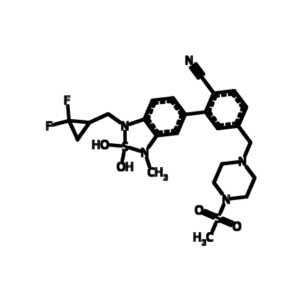 CN1c2cc(-c3cc(CN4CCN(S(C)(=O)=O)CC4)ccc3C#N)ccc2N(CC2CC2(F)F)S1(O)O